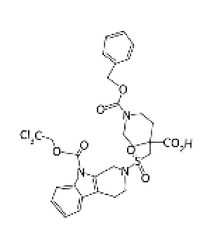 O=C(OCc1ccccc1)N1CCC(CS(=O)(=O)N2CCc3c(n(C(=O)OCC(Cl)(Cl)Cl)c4ccccc34)C2)(C(=O)O)CC1